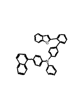 c1ccc(N(c2ccc(-c3ccccc3-c3cc4ccccc4o3)cc2)c2ccc(-c3cccc4ccccc34)cc2)cc1